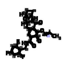 C/C=N/Oc1c2n(cc(C(=O)NCc3c(F)cc(F)cc3F)c1=O)C[C@H]1O[C@H]3CC[C@H](C3)N1C2=O